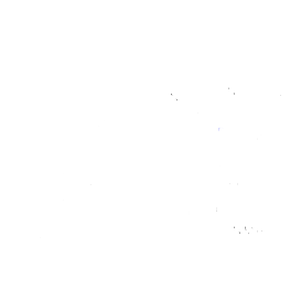 C=N/C(=C(\C)COC(=O)NC)c1ccc(OC2CC3C(C2)C3C(=O)O)c(C)n1